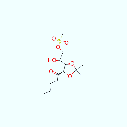 CCCCC(=O)[C@@H]1OC(C)(C)O[C@@H]1[C@@H](O)COS(C)(=O)=O